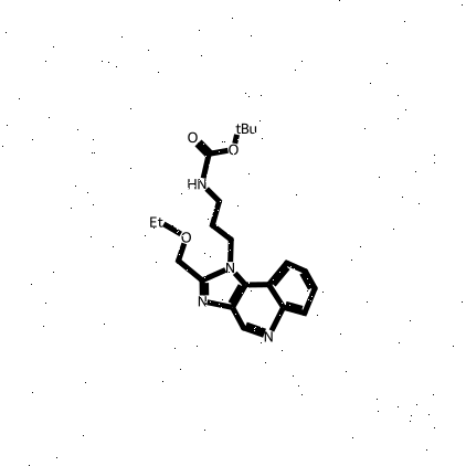 CCOCc1nc2cnc3ccccc3c2n1CCCNC(=O)OC(C)(C)C